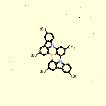 Cc1cc2c3c(c1)-n1c4ccc(C(C)(C)C)cc4c4cc(C(C)(C)C)cc(c41)B3c1cc(C(C)(C)C)cc3c4cc(C(C)(C)C)ccc4n-2c13